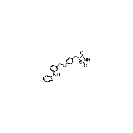 O=c1[nH]c(=O)n(Cc2ccc(OCc3cccc(Nc4ccccc4)c3)cc2)o1